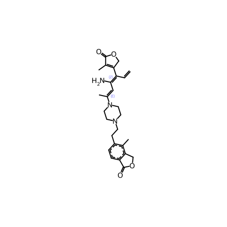 C=C/C(C1=C(C)C(=O)OC1)=C(N)\C=C(/C)N1CCN(CCc2ccc3c(c2C)COC3=O)CC1